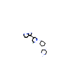 CN1CCC(N[C@H]2CC[C@H](Nc3cc(-c4c[nH]c5ncccc45)cc(Cl)n3)CC2)CC1